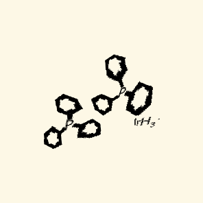 [IrH3].c1ccc(P(c2ccccc2)c2ccccc2)cc1.c1ccc(P(c2ccccc2)c2ccccc2)cc1